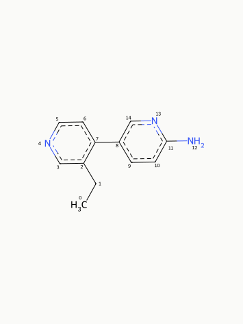 CCc1cnccc1-c1ccc(N)nc1